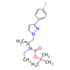 CCN(C(=O)OC(C)(C)C)[C@@H](C)Cn1ccc(-c2ccc(F)cc2)n1